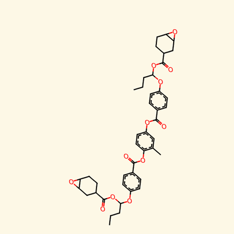 CCCC(OC(=O)C1CCC2OC2C1)Oc1ccc(C(=O)Oc2ccc(OC(=O)c3ccc(OC(CCC)OC(=O)C4CCC5OC5C4)cc3)c(C)c2)cc1